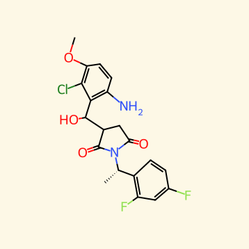 COc1ccc(N)c(C(O)C2CC(=O)N([C@@H](C)c3ccc(F)cc3F)C2=O)c1Cl